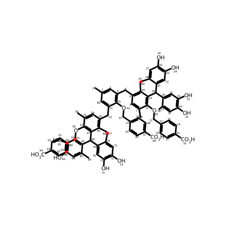 Cc1cc(Cc2cc(C)c(OCc3ccc(C(=O)O)cc3)c(C(c3cc(O)c(O)cc3C)c3cc(O)c(O)cc3C)c2C)c(OCc2ccc(C(=O)O)cc2)c(Cc2cc(C)c(OCc3ccc(C(=O)O)cc3)c(C(c3cc(O)c(O)cc3C)c3cc(O)c(O)cc3C)c2C)c1